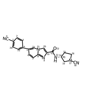 N#Cc1ccc(-c2ccc3nc(C(=O)N[C@@H]4CCN(C#N)C4)cn3c2)cc1